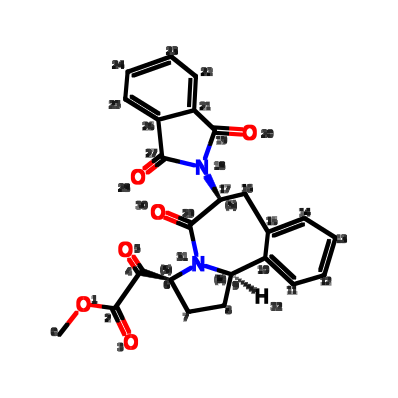 COC(=O)C(=O)[C@@H]1CC[C@@H]2c3ccccc3C[C@H](N3C(=O)c4ccccc4C3=O)C(=O)N21